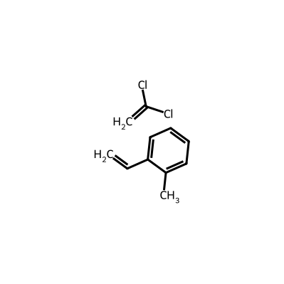 C=C(Cl)Cl.C=Cc1ccccc1C